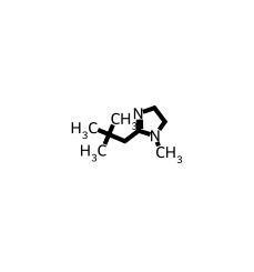 CN1CCN=C1CC(C)(C)C